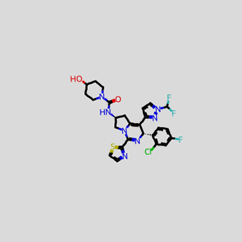 O=C(N[C@H]1CC2=C(c3ccn(C(F)F)n3)[C@H](c3ccc(F)cc3Cl)N=C(c3nccs3)N2C1)N1CCC(O)CC1